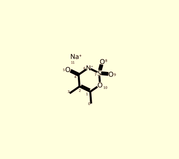 CC1=C(C)C(=O)[N-]S(=O)(=O)O1.[Na+]